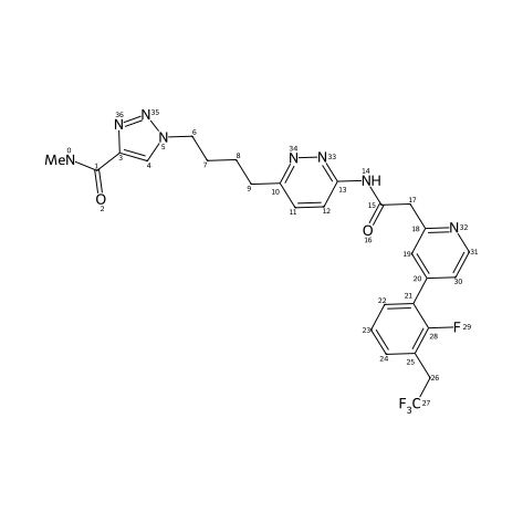 CNC(=O)c1cn(CCCCc2ccc(NC(=O)Cc3cc(-c4cccc(CC(F)(F)F)c4F)ccn3)nn2)nn1